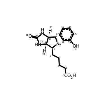 O=C(O)CCCC[C@@H]1SC[C@@H]2NC(=O)N[C@@H]21.Oc1ccccc1